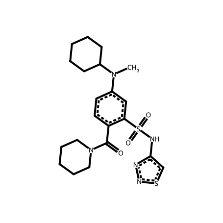 CN(c1ccc(C(=O)N2CCCCC2)c(S(=O)(=O)Nc2csnn2)c1)C1CCCCC1